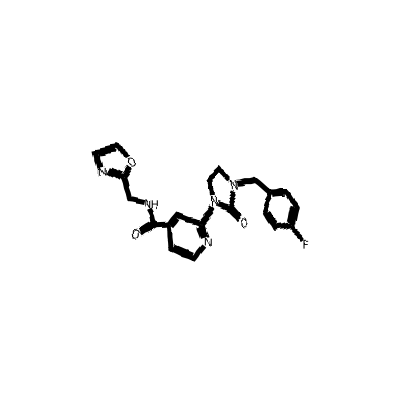 O=C(NCc1ncco1)c1ccnc(N2CCN(Cc3ccc(F)cc3)C2=O)c1